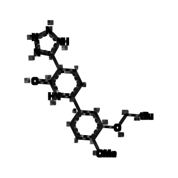 COc1ccc(-c2ccc(-c3nnn[nH]3)c(=O)[nH]2)cc1OCC(C)(C)C